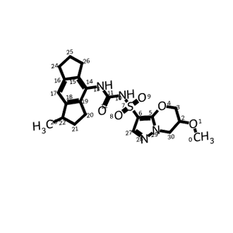 COC1COc2c(S(=O)(=O)NC(=O)Nc3c4c(cc5c3CCC5C)CCC4)cnn2C1